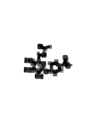 CC(=O)OC[C@H]1O[C@H](Oc2ccc([N+](=O)[O-])cc2)[C@H](O)[C@@H](O)[C@H]1O